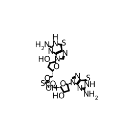 Nc1nc2c(ncn2[C@@H]2O[C@H](COP(O)(=S)OC[C@H]3O[C@@H](n4cnc5c(=S)[nH]c(N)nc54)C[C@H]3O)C[C@@H]2O)c(=S)[nH]1